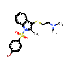 Cc1c(SCCN(C)C)c2ccccc2n1S(=O)(=O)c1ccc(Br)cc1